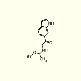 CC(C)OC(C)NCC(=O)c1ccc2[c]c[nH]c2c1